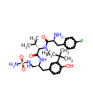 CC(C)[C@@H](C(=O)N[C@H](CNS(N)(=O)=O)Cc1ccc(O)c(C(C)(C)C)c1)N(C)C(=O)[C@@H](N)Cc1ccc(F)cc1